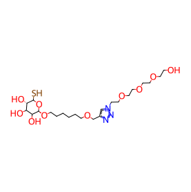 OCCOCCOCCOCCn1cc(COCCCCCCO[C@@H]2OC(S)[C@@H](O)C(O)C2O)nn1